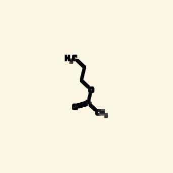 CCCO[P](C)=O